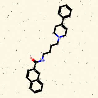 O=C(NCCCCN1CC=C(c2ccccc2)CC1)c1ccc2ccccc2c1